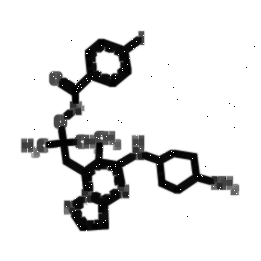 Cc1c(NC2CCC(N)CC2)nc2ccnn2c1CC(C)(C)O[N]C(=O)c1ccc(I)cc1